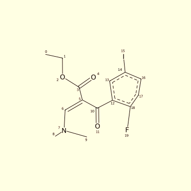 CCOC(=O)/C(=C/N(C)C)C(=O)c1cc(I)ccc1F